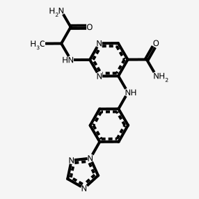 CC(Nc1ncc(C(N)=O)c(Nc2ccc(-n3cncn3)cc2)n1)C(N)=O